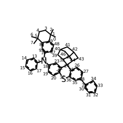 CC1(C)CCC(C)(C)c2cc(N(c3ccccc3)c3ccc4c(c3)C3(c5ccc(-c6ccccc6)cc5S4)C4CC5CC6CC3C64C5)ccc21